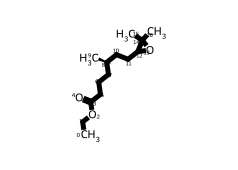 CCOC(=O)CCC[C@@H](C)CCC1OC1(C)C